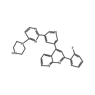 Fc1ccccc1-c1cc(-c2cncc(-c3nccc(N4CCNCC4)n3)c2)c2cccnc2n1